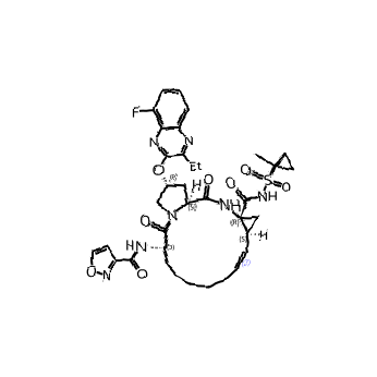 CCc1nc2cccc(F)c2nc1O[C@@H]1C[C@H]2C(=O)N[C@]3(C(=O)NS(=O)(=O)C4(C)CC4)C[C@H]3/C=C\CCCCC[C@H](NC(=O)c3ccon3)C(=O)N2C1